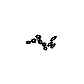 C1=CCCC(C2CCC(N3C4=CCC(c5ccc6c(c5)C5C=CCCC5N6C5CC(C6C=CCCC6)=CC(C6CCCCC6)C5)CC4C4C=CCCC43)CC2)=C1